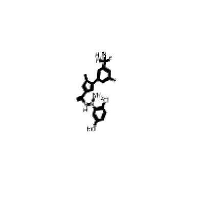 C=C(NN(N)c1cc(O)ccc1Cl)C1=CC(C)C(c2cc(F)cc(C(N)(F)F)c2)=C1